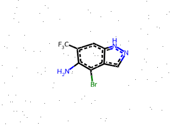 Nc1c(C(F)(F)F)cc2[nH]ncc2c1Br